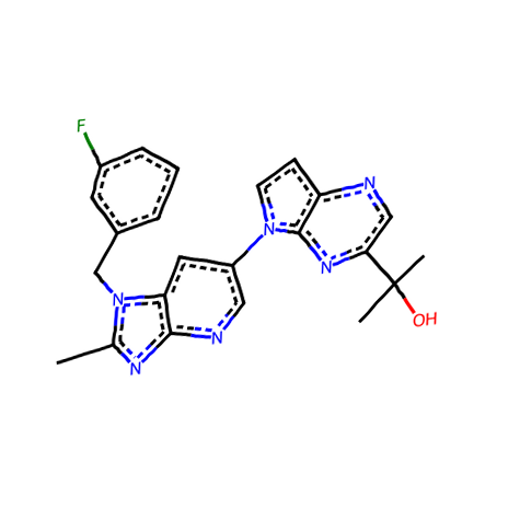 Cc1nc2ncc(-n3ccc4ncc(C(C)(C)O)nc43)cc2n1Cc1cccc(F)c1